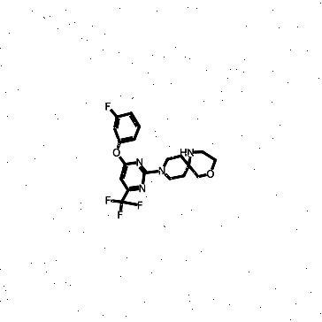 Fc1cccc(Oc2cc(C(F)(F)F)nc(N3CCC4(CC3)COCCN4)n2)c1